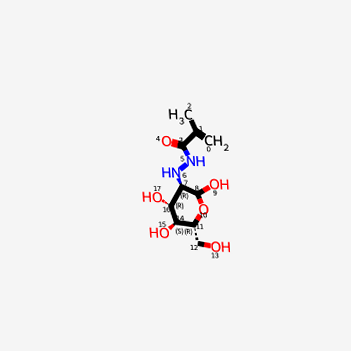 C=C(C)C(=O)NN[C@H]1C(O)O[C@H](CO)[C@@H](O)[C@@H]1O